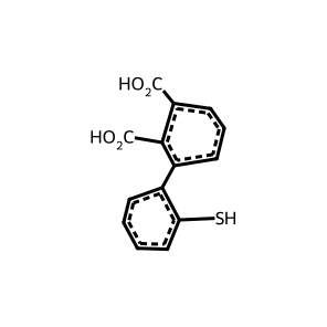 O=C(O)c1cccc(-c2ccccc2S)c1C(=O)O